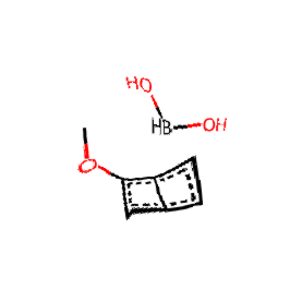 COc1cc2ccc1-2.OBO